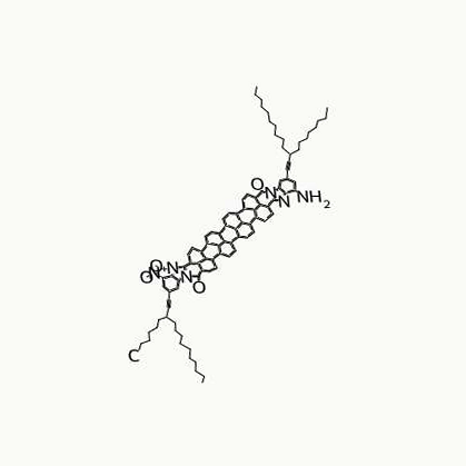 CCCCCCCCCCC(C#Cc1cc(N)c2nc3c4ccc5c6ccc7c8ccc9c%10ccc%11c(=O)n%12c%13cc(C#CC(CCCCCCCC)CCCCCCCCCC)cc([N+](=O)[O-])c%13nc%12c%12ccc(c%13ccc(c%14ccc(c%15ccc(c(=O)n3c2c1)c4c5%15)c6c7%14)c8c9%13)c%10c%11%12)CCCCCCCC